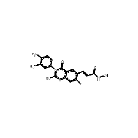 CCc1nc2cc(F)c(/C=C/C(=O)NO)cc2c(=O)n1-c1ccc(C)c(C)c1